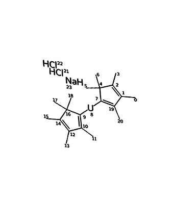 CC1=C(C)C(C)(C)[C]([U][C]2=C(C)C(C)=C(C)C2(C)C)=C1C.Cl.Cl.[NaH]